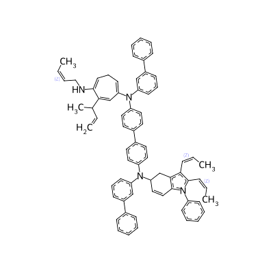 C=CC(C)C1=CC(N(c2ccc(-c3ccc(N(c4cccc(-c5ccccc5)c4)C4C=Cc5c(c(/C=C\C)c(/C=C\C)n5-c5ccccc5)C4)cc3)cc2)c2cccc(-c3ccccc3)c2)=CCC=C1NC/C=C\C